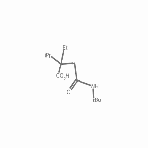 CCC(CC(=O)NC(C)(C)C)(C(=O)O)C(C)C